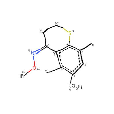 Cc1cc(C(=O)O)c(C)c2c1SCC/C2=N/OC(C)C